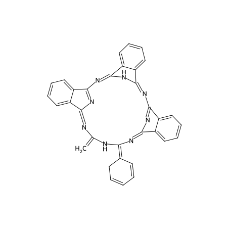 C=c1nc2nc(nc3[nH]c(nc4nc(n/c(=C5\C=CC=CC5)[nH]1)-c1ccccc1-4)c1ccccc31)-c1ccccc1-2